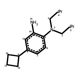 CC(C)CN(CC(C)C)c1ccc(C2CCC2)cc1N